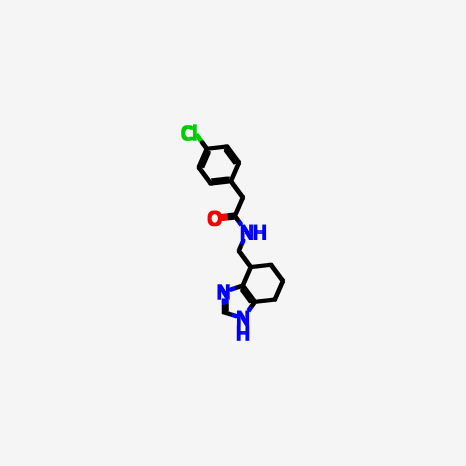 O=C(Cc1ccc(Cl)cc1)NCC1CCCc2[nH]cnc21